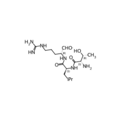 CC(C)C[C@H](NC(=O)[C@@H](N)[C@@H](C)O)C(=O)N[C@@H]([C]=O)CCCNC(=N)N